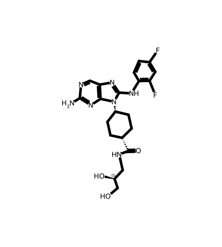 Nc1ncc2nc(Nc3ccc(F)cc3F)n([C@H]3CC[C@@H](C(=O)NC[C@H](O)CO)CC3)c2n1